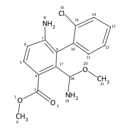 COC(=O)c1ccc(N)c(-c2ccccc2Cl)c1C(N)OC